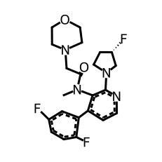 CN(C(=O)CN1CCOCC1)c1c(-c2cc(F)ccc2F)ccnc1N1CC[C@H](F)C1